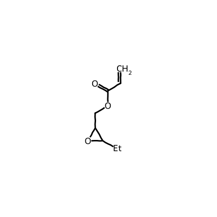 C=CC(=O)OCC1OC1CC